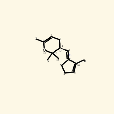 CC1=CC[C@@H](/C=C2\CCC=C2C)C(C)(C)O1